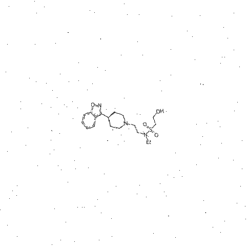 CCN(CCN1CCC(c2noc3ccccc23)CC1)S(=O)(=O)CCO